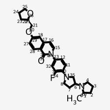 C[C@H]1CCCN1C1CCN(c2ccc(-n3ccc4cc(OC[C@H]5CCCO5)ccc4c3=O)cc2F)C1